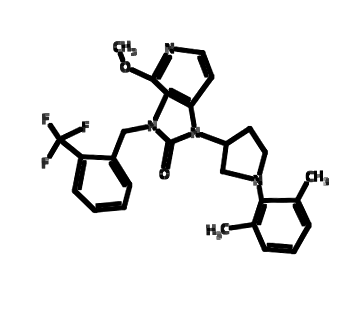 COc1nccc2c1n(Cc1ccccc1C(F)(F)F)c(=O)n2C1CCN(c2c(C)cccc2C)C1